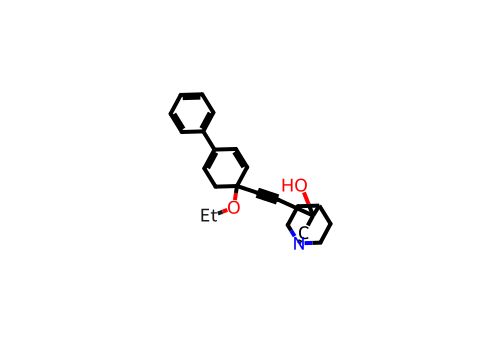 CCOC1(C#CC2(O)CN3CCC2CC3)C=CC(c2ccccc2)=CC1